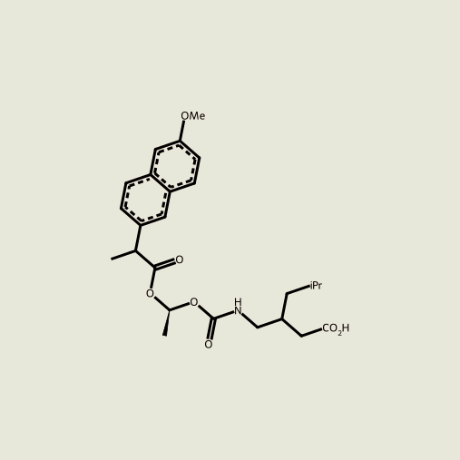 COc1ccc2cc(C(C)C(=O)O[C@H](C)OC(=O)NCC(CC(=O)O)CC(C)C)ccc2c1